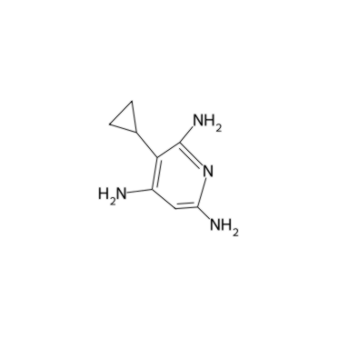 Nc1cc(N)c(C2CC2)c(N)n1